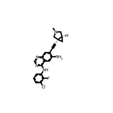 CN1C[C@H]2C[C@@]2(C#Cc2cc3ncnc(Nc4cccc(Cl)c4F)c3cc2N)C1